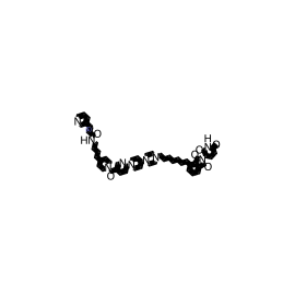 O=C(/C=C/c1cccnc1)NCCCCC1CCN(C(=O)c2ccc(N3CCC(N4CCN(CCCCCCCc5cccc6c5C(=O)N(C5CCC(=O)NC5=O)C6=O)CC4)CC3)nc2)CC1